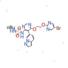 CCCCNS(=O)(=O)Nc1ncnc(OCCOc2ncc(Br)cn2)c1-c1ccc2ccnn2c1